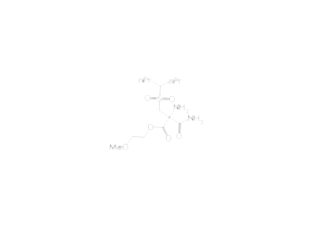 CCCC(CCC)S(=O)(=O)CC(N)(C(N)=O)C(=O)OCCOC